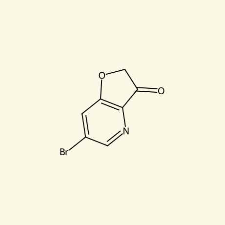 O=C1COc2cc(Br)cnc21